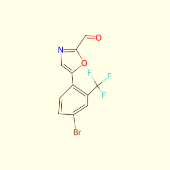 O=Cc1ncc(-c2ccc(Br)cc2C(F)(F)F)o1